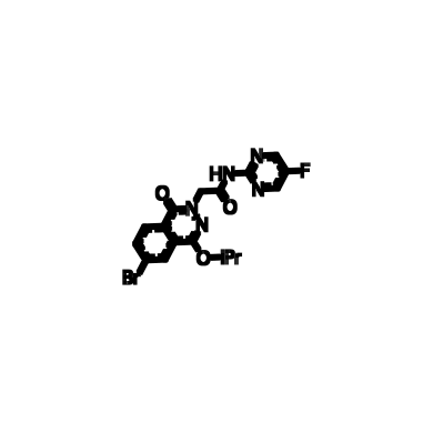 CC(C)Oc1nn(CC(=O)Nc2ncc(F)cn2)c(=O)c2ccc(Br)cc12